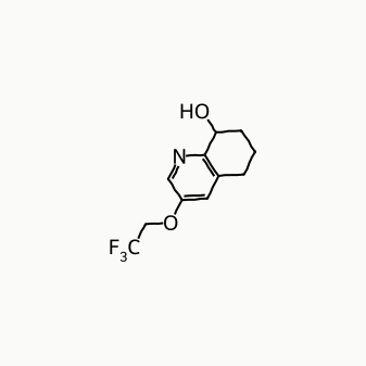 OC1CCCc2cc(OCC(F)(F)F)cnc21